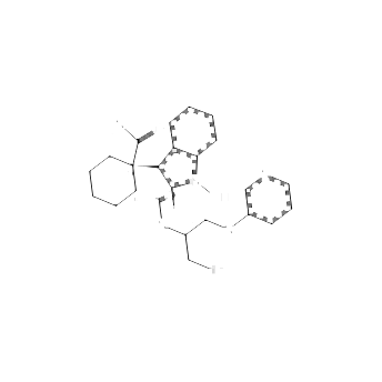 CC(C)CC(CNc1cccnc1)NC(=O)[C@@H]1CCCC[C@@]1(C(N)=O)c1c(C(=O)O)n(C)c2ccccc12